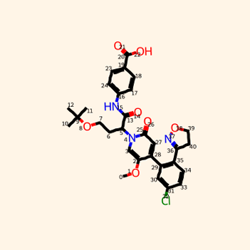 COc1cn(C(CCOC(C)(C)C)C(=O)Nc2ccc(C(=O)O)cc2)c(=O)cc1-c1cc(Cl)ccc1C1=NOCC1